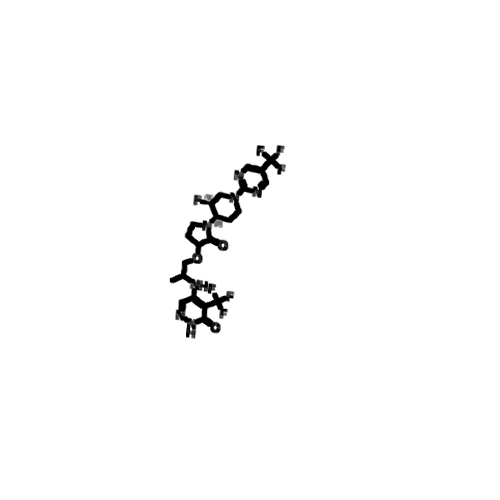 CC(COC1CCN([C@@H]2CCN(c3ncc(C(F)(F)F)cn3)C[C@@H]2F)C1=O)Nc1cn[nH]c(=O)c1C(F)(F)F